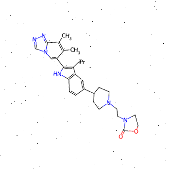 Cc1c(-c2[nH]c3ccc(C4CCN(CCN5CCOC5=O)CC4)cc3c2C(C)C)cn2cnnc2c1C